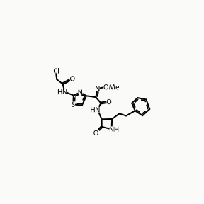 CO/N=C(\C(=O)NC1C(=O)NC1CCc1ccccc1)c1csc(NC(=O)CCl)n1